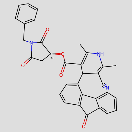 CC1=C(C#N)C(c2cccc3c2-c2ccccc2C3=O)C(C(=O)O[C@H]2CC(=O)N(Cc3ccccc3)C2=O)=C(C)N1